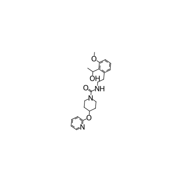 COc1cccc(CCNC(=O)N2CCC(Oc3ccccn3)CC2)c1C(C)O